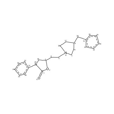 O=C1OC(CCN2CCC(Cc3ccccc3)CC2)CN1c1ccccc1